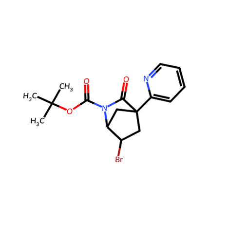 CC(C)(C)OC(=O)N1C(=O)C2(c3ccccn3)CC(Br)C1C2